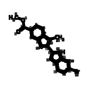 COC(=O)c1ccc2c(c1)nc(-c1cc3ccc(Br)nc3[nH]1)n2C